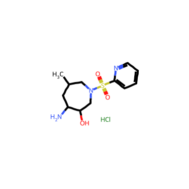 CC1CC(N)C(O)CN(S(=O)(=O)c2ccccn2)C1.Cl